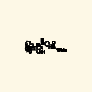 CCN(c1ncccc1C=Cc1nc(Nc2ccc(C(=O)NCCOC)cc2)nc2[nH]ccc12)S(C)(=O)=O